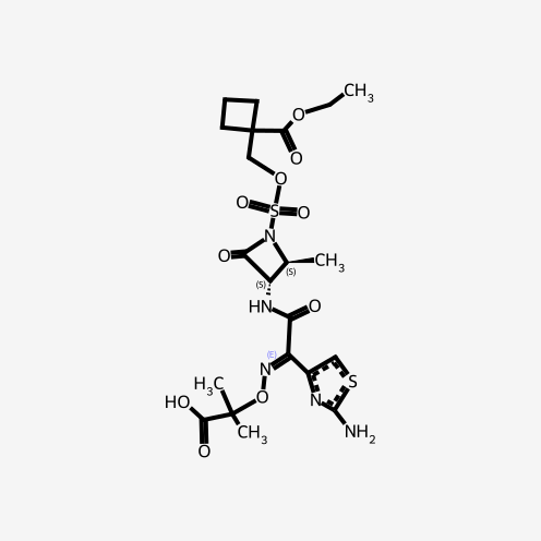 CCOC(=O)C1(COS(=O)(=O)N2C(=O)[C@@H](NC(=O)/C(=N/OC(C)(C)C(=O)O)c3csc(N)n3)[C@@H]2C)CCC1